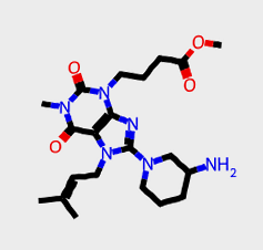 COC(=O)CCCn1c(=O)n(C)c(=O)c2c1nc(N1CCCC(N)C1)n2CC=C(C)C